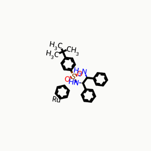 CC(C)(C)c1ccc(S(=O)(=O)N[C@@H](c2ccccc2)[C@@H](N)c2ccccc2)cc1.[Ru].c1ccccc1